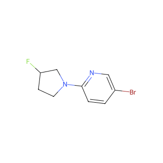 FC1CCN(c2ccc(Br)cn2)C1